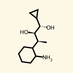 C[C@@H](C1CCCCC1N)[C@@H](O)[C@@H](O)C1CC1